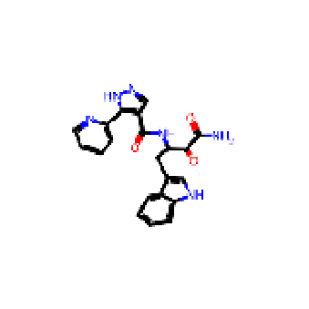 NC(=O)C(=O)C(Cc1c[nH]c2ccccc12)NC(=O)c1cn[nH]c1-c1ccccn1